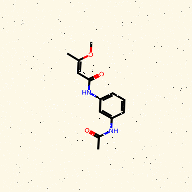 COC(C)=CC(=O)Nc1cccc(NC(C)=O)c1